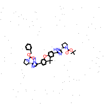 CC(C)(C)OC(=O)N1CCC[C@H]1c1cnc(-c2ccc3c(c2)C(C)(C)c2ccc(-c4cnc([C@@H]5CCCN5C(=O)OCc5ccccc5)[nH]4)cc2O3)[nH]1